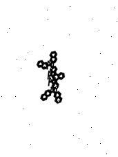 Cn1c2cc(N(C3=CC=C4C=CC=CC4C3)c3ccc4ccccc4c3)ccc2c2c3ccccc3c3c4ccc(N(c5ccc6ccccc6c5)c5ccc6ccccc6c5)cc4n(C)c3c21